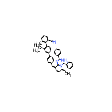 C\C=C/C=C\C(=C\c1ccc(-c2ccc(-c3c(C)cccc3C#N)c(C(C)C)c2)cc1)C(=N\Cc1ccccc1)\N=C(/N)c1ccccc1